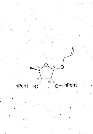 C=CCO[C@H]1O[C@H](C)[C@@H](OCCCCC)[C@H]1OCCCCC